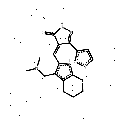 CN(C)Cc1c(/C=C2/C(=O)NN=C2c2ccno2)[nH]c2c1CCCC2